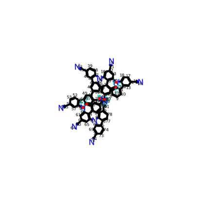 N#Cc1cc(-n2c3ccccc3c3cc(C#N)ccc32)c(-c2ccc(C(F)(F)F)cc2C(F)(F)F)c(-n2c3ccc(C#N)cc3c3cc(-c4cc5c6ccc(C#N)cc6n(-c6cc(C#N)cc(-n7c8cc(C#N)ccc8c8ccc(C#N)cc87)c6-c6ccc(C(F)(F)F)cc6C(F)(F)F)c5cc4C#N)ccc32)c1